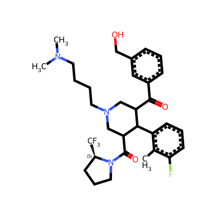 Cc1c(F)cccc1C1C(C(=O)c2cccc(CO)c2)CN(CCCCN(C)C)CC1C(=O)N1CCC[C@H]1C(F)(F)F